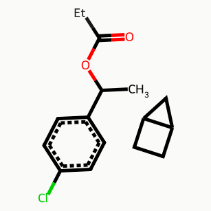 C1CC2CC12.CCC(=O)OC(C)c1ccc(Cl)cc1